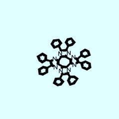 c1ccc(-c2nc3c(nc2-c2ccccc2)-c2nc(-c4ccccc4)c(-c4ccccc4)nc2-c2nc(-c4ccccc4)c(-c4ccccc4)nc2-c2nc(-c4ccccc4)c(-c4ccccc4)nc2-3)cc1